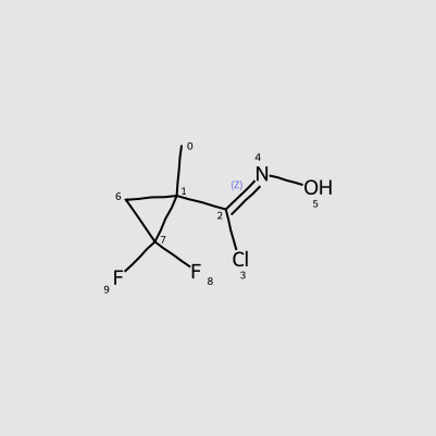 CC1(/C(Cl)=N/O)CC1(F)F